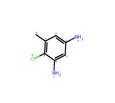 Cc1cc(N)cc(N)c1Cl